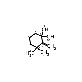 C=C1C(C)(C)CCCC1(C)O